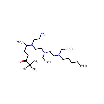 CCC(C)(C)C(=O)CCC(C(=O)O)N(CCN)CCN(CCN(CCCCC(=O)O)CC(=O)O)CC(=O)O